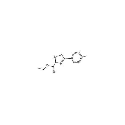 CCOC(=O)C1N=C(c2ccc(C)cc2)SO1